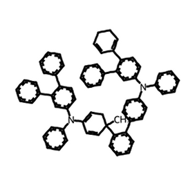 CC1(c2ccccc2-c2ccc(N(c3ccccc3)c3ccc(C4=CCCC=C4)c(-c4ccccc4)c3)cc2)C=CC(N(c2ccccc2)c2ccc(-c3ccccc3)c(-c3ccccc3)c2)=CC1